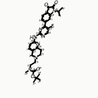 CC(C)N1C(=O)C(=O)c2ccc(-c3nc(Nc4ccc5c(n4)CCN(CCN(C)C(=O)OC(C)(C)C)C5)ncc3F)cc21